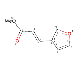 COC(=O)/C=C/c1ccoc1